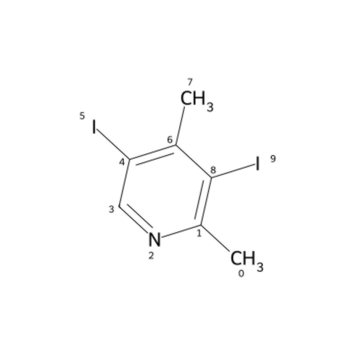 Cc1ncc(I)c(C)c1I